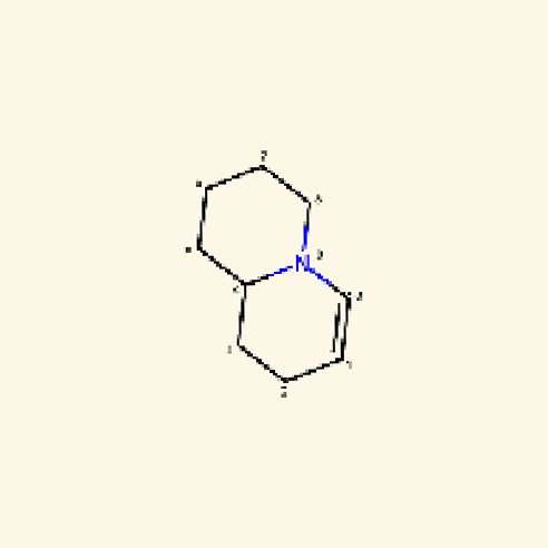 [C]1=CCCC2CCCCN12